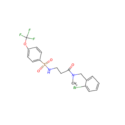 CN(Cc1ccccc1Br)C(=O)CCNS(=O)(=O)c1ccc(OC(F)(F)F)cc1